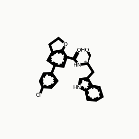 O=C(N[C@@H](CO)Cc1c[nH]c2ccccc12)c1cc(-c2ccc(Cl)cc2)cc2c1OCC2